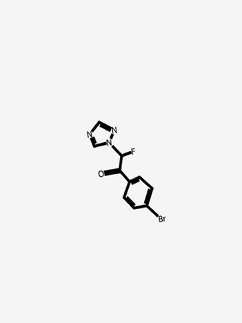 O=C(c1ccc(Br)cc1)C(F)n1cncn1